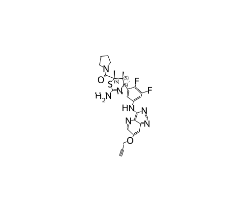 C#CCOc1cnc2c(Nc3cc(F)c(F)c([C@@]4(C)N=C(N)S[C@](C)(C(=O)N5CCCC5)[C@H]4C)c3)ncnc2c1